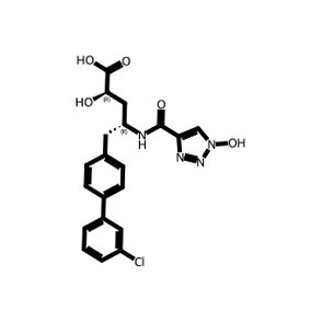 O=C(N[C@H](Cc1ccc(-c2cccc(Cl)c2)cc1)C[C@@H](O)C(=O)O)c1cn(O)nn1